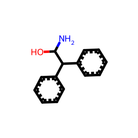 NC(O)C(c1ccccc1)c1ccccc1